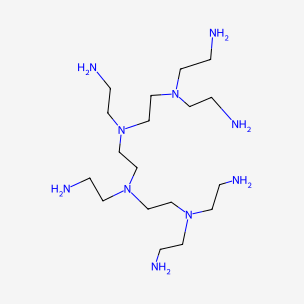 NCCN(CCN)CCN(CCN)CCN(CCN)CCN(CCN)CCN